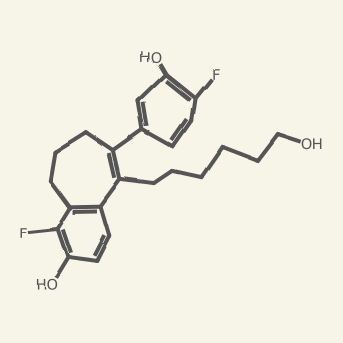 OCCCCCCC1=C(c2ccc(F)c(O)c2)CCCc2c1ccc(O)c2F